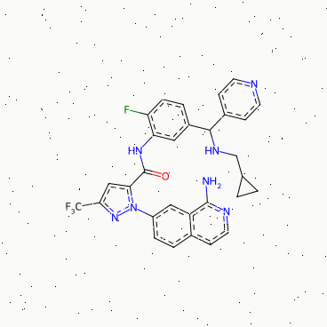 Nc1nccc2ccc(-n3nc(C(F)(F)F)cc3C(=O)Nc3cc(C(NCC4CC4)c4ccncc4)ccc3F)cc12